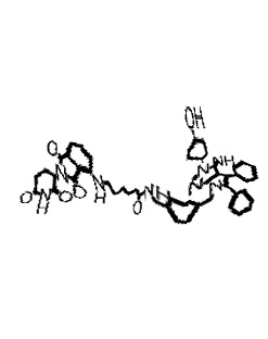 N=c1c2c(-c3ccccc3)c(-c3ccccc3)n(Cc3ccc(CNC(=O)CCCCCNc4cccc5c4C(=O)N(C4CCC(=O)NC4=O)C5=O)cc3)c2ncn1[C@H]1CC[C@H](O)CC1